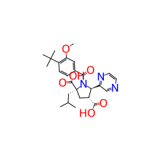 COc1cc(C(=O)N2[C@@H](c3cnccn3)[C@H](C(=O)O)C[C@@]2(CC(C)C)C(=O)O)ccc1C(C)(C)C